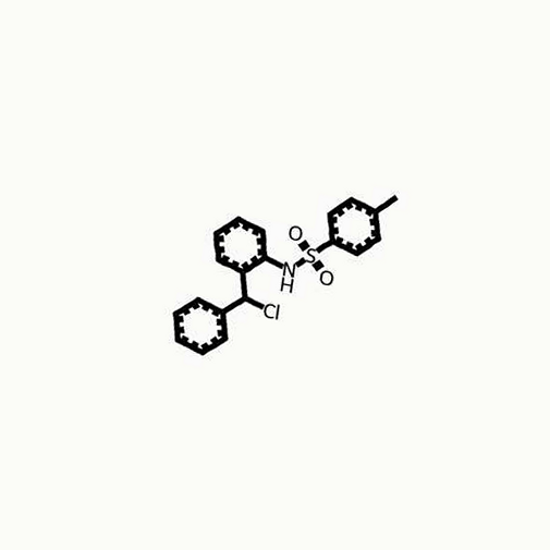 Cc1ccc(S(=O)(=O)Nc2ccccc2C(Cl)c2ccccc2)cc1